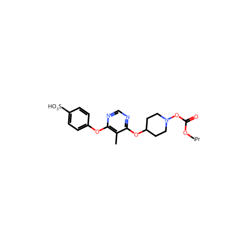 Cc1c(Oc2ccc(S(=O)(=O)O)cc2)ncnc1OC1CCN(OC(=O)OC(C)C)CC1